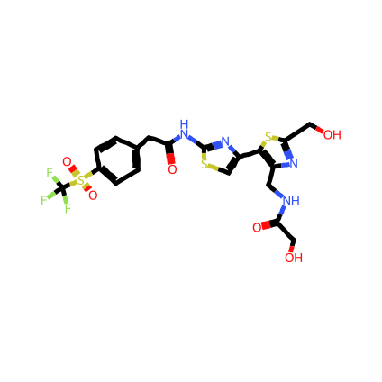 O=C(CO)NCc1nc(CO)sc1-c1csc(NC(=O)Cc2ccc(S(=O)(=O)C(F)(F)F)cc2)n1